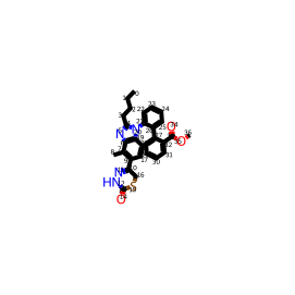 CCCCc1nc2c(C)c(C3=NNC(=O)SC3)ccc2n1-c1ccccc1-c1ccccc1C(=O)OC